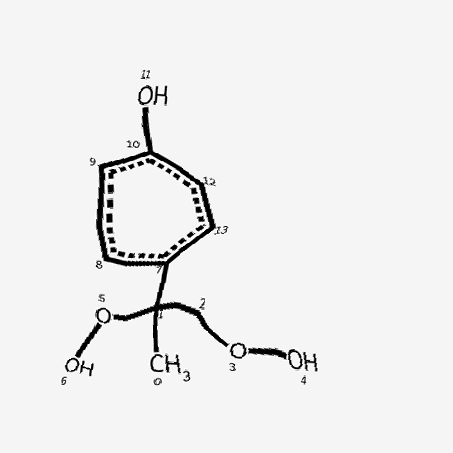 CC(COO)(OO)c1ccc(O)cc1